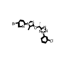 CC1C(O[C@H](C)c2nnn(-c3cccc(Cl)c3)n2)SCN1c1ccc(Br)cn1